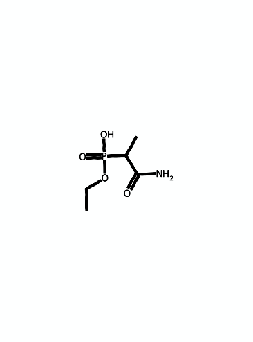 CCOP(=O)(O)C(C)C(N)=O